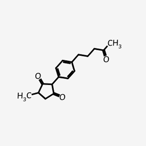 CC(=O)CCCc1ccc(C2C(=O)CC(C)C2=O)cc1